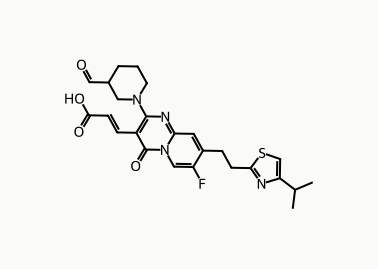 CC(C)c1csc(CCc2cc3nc(N4CCCC(C=O)C4)c(/C=C/C(=O)O)c(=O)n3cc2F)n1